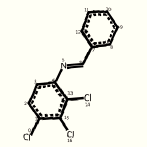 Clc1ccc(/N=C/c2ccccc2)c(Cl)c1Cl